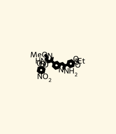 CCS(=O)(=O)c1ccc(-c2cc3cc(-c4cnc(OC)c(NS(=O)(=O)c5ccc([N+](=O)[O-])cc5)c4)ccc3nc2N)cc1